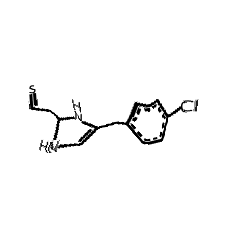 S=CC1NC=C(c2ccc(Cl)cc2)N1